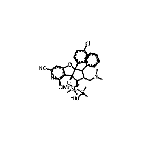 COc1nc(C#N)cc2c1C1(O[Si](C)(C)C)C(O[Si](C)(C)C(C)(C)C)C(CN(C)C)C(c3ccccc3)C1(c1ccc(Cl)cc1)O2